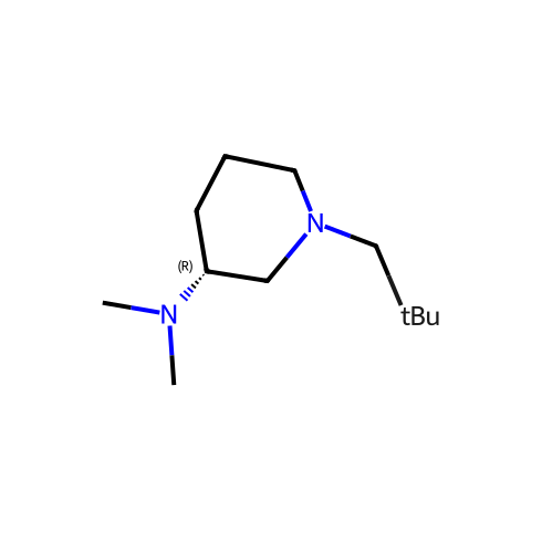 CN(C)[C@@H]1CCCN(CC(C)(C)C)C1